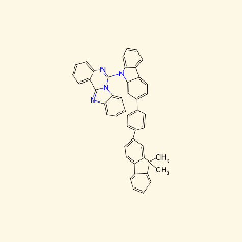 CC1(C)c2ccccc2-c2ccc(-c3ccc(-c4ccc5c6ccccc6n(-c6nc7ccccc7c7nc8ccccc8n67)c5c4)cc3)cc21